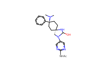 CC(=O)Nc1ncc(N2C[C@]3(CC[C@](c4ccccc4)(N(C)C)CC3)NC2O)cn1